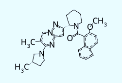 COc1ccc2ccccc2c1C(=O)N1CCCC[C@H]1c1cc2nc(N3CC[C@H](C)C3)c(C)cn2n1